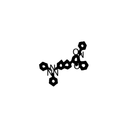 c1ccc(-c2nc(-c3ccccc3)nc(-c3ccc4cc(-c5cc6oc(-c7ccccc7)nc6c6c5oc5ccccc56)ccc4c3)n2)cc1